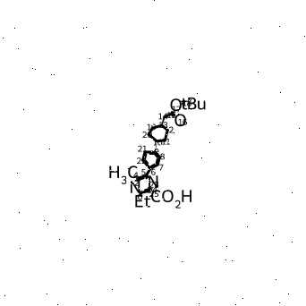 CCc1nc(C)c(-c2ccc([C@H]3CC[C@H](CC(=O)OC(C)(C)C)CC3)cc2)nc1C(=O)O